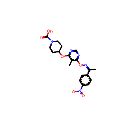 C/C(=N/Oc1ncnc(OC2CCN(C(=O)O)CC2)c1C)c1ccc([N+](=O)[O-])cc1